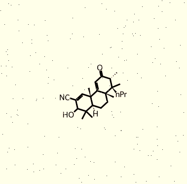 CCC[C@]1(C)[C@@H](C)C(=O)C=C2[C@@]3(C)C=C(C#N)C(O)C(C)(C)[C@@H]3CC[C@]21C